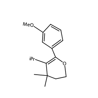 COc1cccc(C2=C(C(C)C)C(C)(C)CCO2)c1